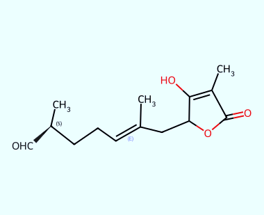 CC1=C(O)C(C/C(C)=C/CC[C@H](C)C=O)OC1=O